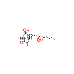 C=C1C[C@H]2[C@H](C=CCC(O)CCCCCC)[C@H](O)C[C@@H]2C1=O